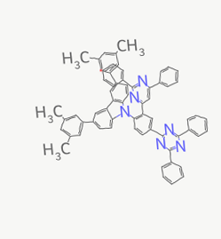 Cc1cc(C)cc(-c2ccc3c(c2)c2cc(-c4cc(C)cc(C)c4)ccc2n3-c2ccc(-c3nc(-c4ccccc4)nc(-c4ccccc4)n3)cc2-c2cc(-c3ccccc3)nc(-c3ccccc3)n2)c1